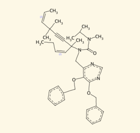 C/C=C\C(C)(C)C#CC(C)(/C=C\CC)N(Cc1ncnc(OCc2ccccc2)c1OCc1ccccc1)C(=O)N(C)C(C)C